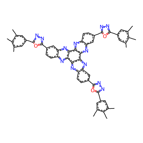 Cc1cc(-c2nnc(-c3ccc4nc5c6nc7ccc(-c8nnc(-c9cc(C)c(C)c(C)c9)o8)cc7nc6c6nc7cc(-c8nnc(-c9cc(C)c(C)c(C)c9)o8)ccc7nc6c5nc4c3)o2)cc(C)c1C